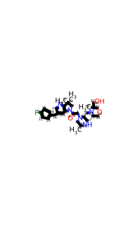 C[C@@H]1CN(CC(=O)N2CC(C)(C)c3ncc(Cc4ccc(F)cc4)cc32)[C@H](CN2CCOCC2(C)CO)CN1